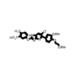 COCCOc1ccc(-c2nc3nc(Oc4ccc(C)c(C(=O)O)c4)[nH]c3cc2Cl)cc1OC